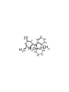 Cc1cc(Cl)cc(N2C3=C(CCC=C3)C3(C)CCCCC23C)c1